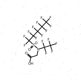 O=C(O)CN(C(F)(F)C(F)(F)F)S(=O)(=O)C(F)(F)C(F)(F)C(F)(F)C(F)(F)C(F)(F)F